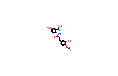 COc1ccc(CCC(=O)Nc2ccc(O)cc2C(=O)O)cc1O